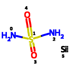 NS(N)(=O)=O.[Si]